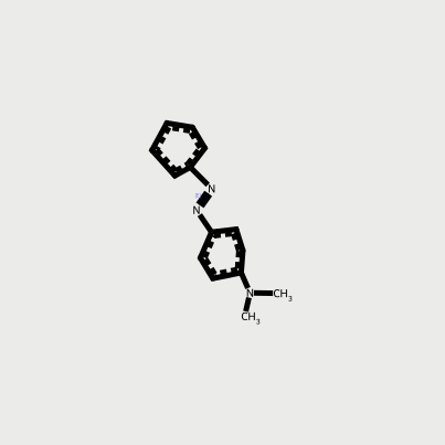 CN(C)c1ccc(/N=N/c2cc[c]cc2)cc1